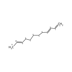 C=CC=CCCCCCC=CC